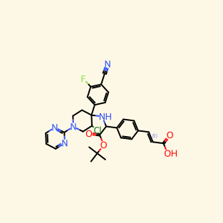 CC(C)(C)OC(=O)C(NC1(c2ccc(C#N)c(F)c2)CCN(c2ncccn2)CC1Cl)c1ccc(/C=C/C(=O)O)cc1